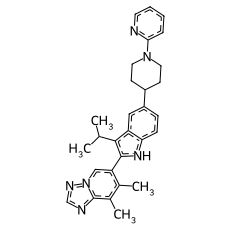 Cc1c(-c2[nH]c3ccc(C4CCN(c5ccccn5)CC4)cc3c2C(C)C)cn2ncnc2c1C